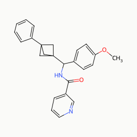 COc1ccc(C(NC(=O)c2cccnc2)C23CC(c4ccccc4)(C2)C3)cc1